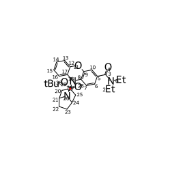 CCN(CC)C(=O)c1ccc2c(c1)Oc1ccccc1N2C1CC2CCC(C1)N2C(=O)OC(C)(C)C